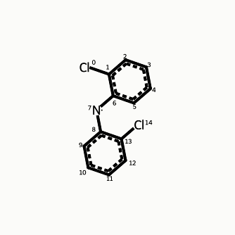 Clc1ccccc1[N]c1ccccc1Cl